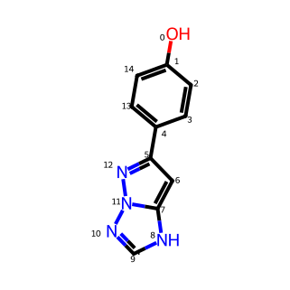 Oc1ccc(-c2cc3[nH][c]nn3n2)cc1